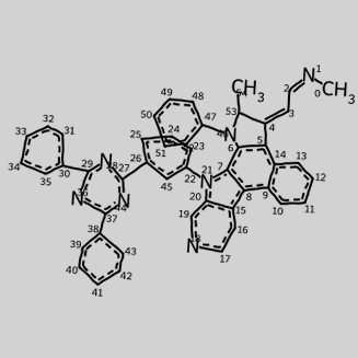 C/N=C\C=C1\c2c(c3c(c4ccccc24)c2ccncc2n3-c2cccc(-c3nc(-c4ccccc4)nc(-c4ccccc4)n3)c2)N(c2ccccc2)C1C